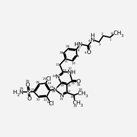 CCCCNC(=O)Nc1ccc(Cc2nc3c(c(C(C)C)nn3-c3c(Cl)cc(S(N)(=O)=O)cc3Cl)c(=O)[nH]2)cc1